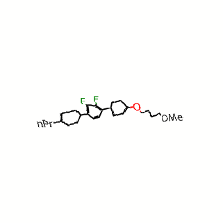 CCCC1CCC(c2ccc(C3CCC(OCCCCOC)CC3)c(F)c2F)CC1